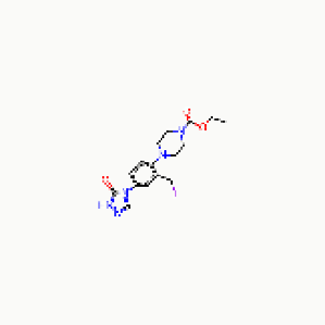 CCOC(=O)N1CCN(c2ccc(-n3cn[nH]c3=O)cc2CI)CC1